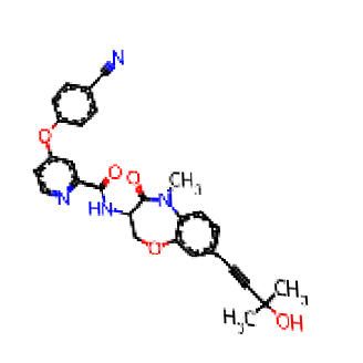 CN1C(=O)[C@H](NC(=O)c2cc(Oc3ccc(C#N)cc3)ccn2)COc2cc(C#CC(C)(C)O)ccc21